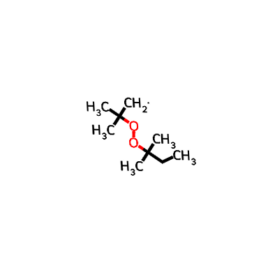 [CH2]C(C)(C)OOC(C)(C)CC